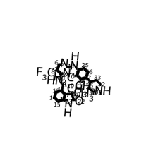 Cc1c(Nc2ncc(C(F)(F)F)c(NCc3cccc4c3C(C)(C)C(=O)N4)n2)ccc(C2CCNCC2)c1C